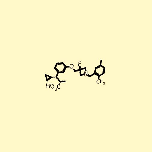 Cc1ccc(C(F)(F)F)c(CN2CC(F)(COc3cccc([C@H](C4CC4)[C@H](C)C(=O)O)c3)C2)c1